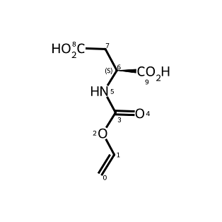 C=COC(=O)N[C@@H](CC(=O)O)C(=O)O